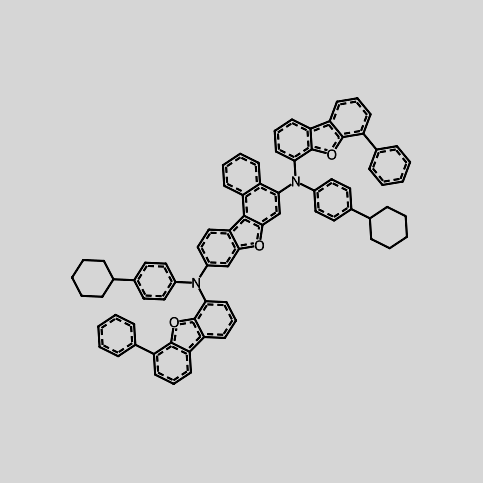 c1ccc(-c2cccc3c2oc2c(N(c4ccc(C5CCCCC5)cc4)c4ccc5c(c4)oc4cc(N(c6ccc(C7CCCCC7)cc6)c6cccc7c6oc6c(-c8ccccc8)cccc67)c6ccccc6c45)cccc23)cc1